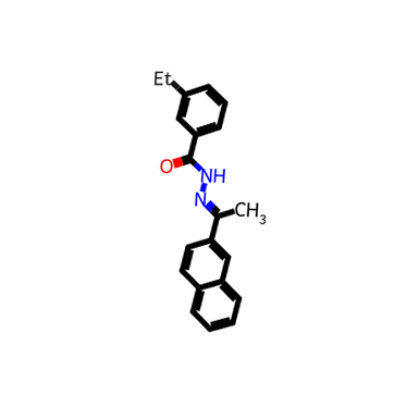 CCc1cccc(C(=O)N/N=C(\C)c2ccc3ccccc3c2)c1